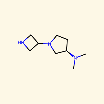 CN(C)[C@@H]1CCN(C2CNC2)C1